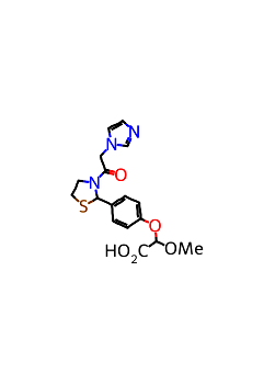 COC(Oc1ccc(C2SCCN2C(=O)Cn2ccnc2)cc1)C(=O)O